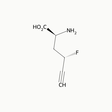 C#C[C@@H](F)C[C@H](N)C(=O)O